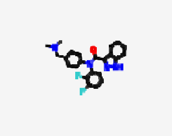 CN(C)Cc1ccc(N(C(=O)c2n[nH]c3ccccc23)c2cccc(F)c2F)cc1